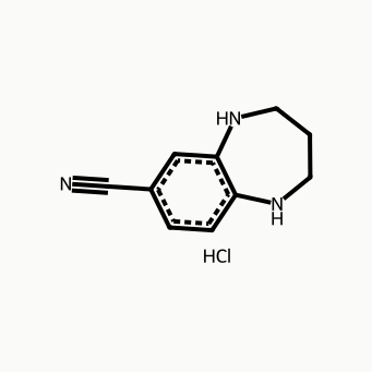 Cl.N#Cc1ccc2c(c1)NCCCN2